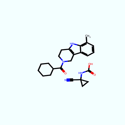 Cc1cccc2c3c([nH]c12)CCN(C(=O)C1CCCCC1)C3.N#CC1(NC(=O)O)CC1